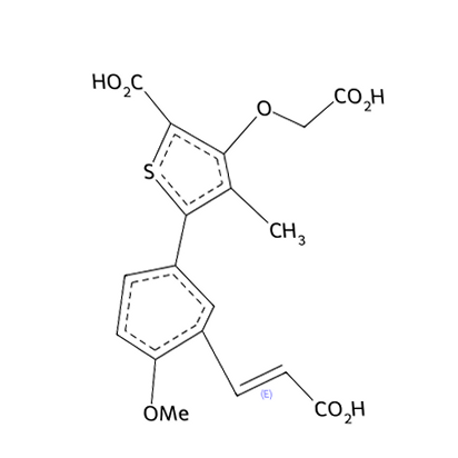 COc1ccc(-c2sc(C(=O)O)c(OCC(=O)O)c2C)cc1/C=C/C(=O)O